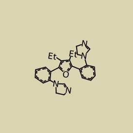 CCc1c(-c2ccccc2N2C=NCC2)oc(-c2ccccc2N2C=NCC2)c1CC